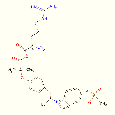 CCC(Oc1ccc(OC(C)(C)C(=O)OC(=O)[C@@H](N)CCCNC(=N)N)cc1)n1ccc2cc(OS(C)(=O)=O)ccc21